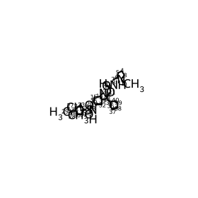 CCN1CCCC1CNC(=O)Oc1[nH]c2ccc(NS(=O)(=O)c3ccc(C(C)(C)C)cc3)cc2c1-c1ccccc1